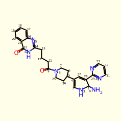 NC1NC=C(C2CCN(C(=O)CCCc3nc4ccccc4c(=O)[nH]3)CC2)C=C1c1ncccn1